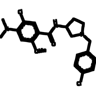 COc1cc(N(C)C)c(Cl)cc1C(=O)NC1CCN(Cc2ccc(Cl)cc2)C1